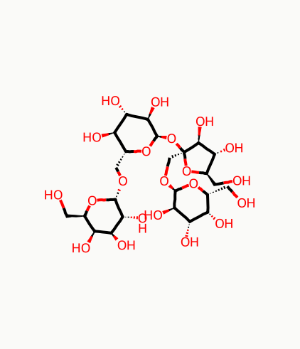 OC[C@H]1O[C@H](OC[C@H]2O[C@H](O[C@]3(CO[C@H]4O[C@H](CO)[C@H](O)[C@H](O)[C@H]4O)O[C@H](CO)[C@@H](O)[C@@H]3O)[C@H](O)[C@@H](O)[C@@H]2O)[C@H](O)[C@@H](O)[C@H]1O